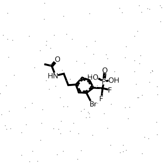 CC(=O)NCCc1ccc(C(F)(F)P(=O)(O)O)c(Br)c1